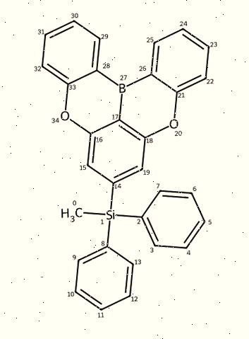 C[Si](c1ccccc1)(c1ccccc1)c1cc2c3c(c1)Oc1ccccc1B3c1ccccc1O2